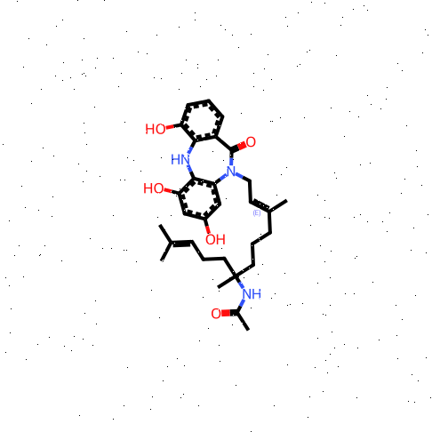 CC(=O)NC(C)(CCC=C(C)C)CCC/C(C)=C/CN1C(=O)c2cccc(O)c2Nc2c(O)cc(O)cc21